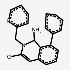 NC1c2c(cccc2-c2ccccc2)C=C(Cl)N1Cc1ccccn1